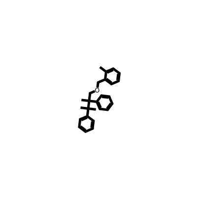 Cc1ccccc1COCC(C)(c1ccccc1)C(C)(C)c1ccccc1